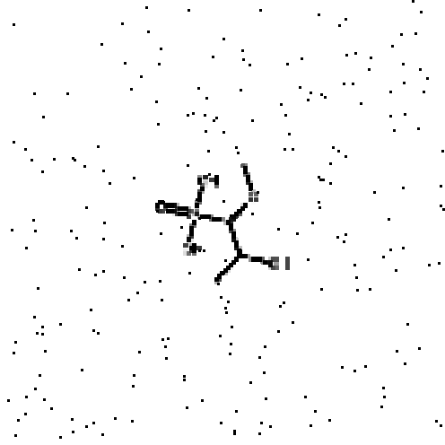 COC(C(C)O)P(=O)(O)O